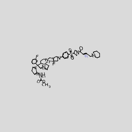 COC(=O)N[C@H]1CCC[C@@H]1C(CN1CCC1)(c1cccc(F)c1)C1CCN(C[C@H]2CN(c3ccc(S(=O)(=O)C4CN(C(=O)/C=C/CN5CCCCC5)C4)cc3)CC2(F)F)CC1